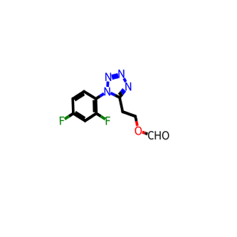 O=COCCc1nnnn1-c1ccc(F)cc1F